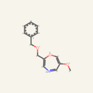 COC1=COC(COCc2ccccc2)=CN=C1